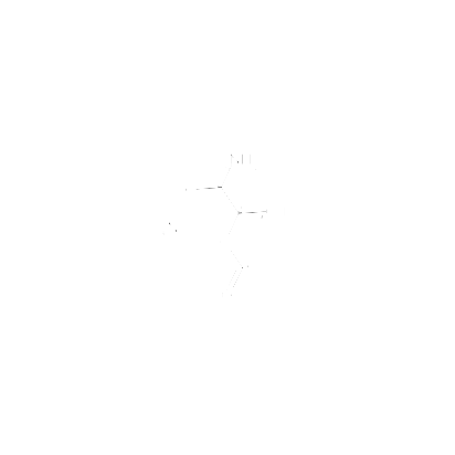 CC(N)C(C)OC=O.N